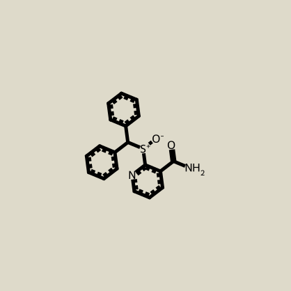 NC(=O)c1cccnc1[S+]([O-])C(c1ccccc1)c1ccccc1